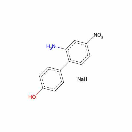 Nc1cc([N+](=O)[O-])ccc1-c1ccc(O)cc1.[NaH]